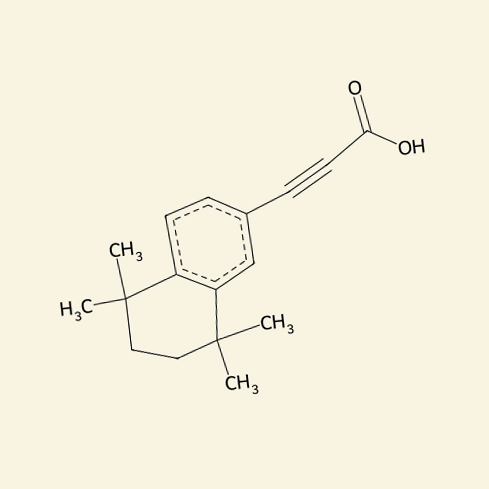 CC1(C)CCC(C)(C)c2cc(C#CC(=O)O)ccc21